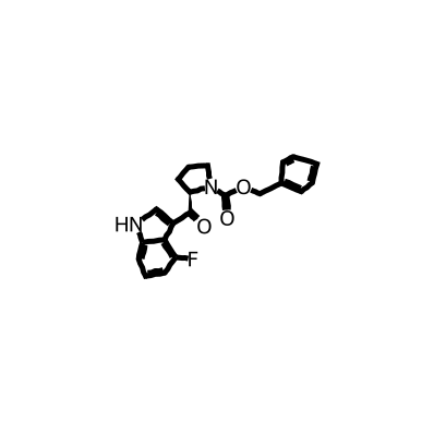 O=C(c1c[nH]c2cccc(F)c12)[C@H]1CCCN1C(=O)OCc1ccccc1